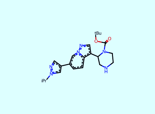 CC(C)n1cc(-c2ccc3c(C4CNCCN4C(=O)OC(C)(C)C)cnn3c2)cn1